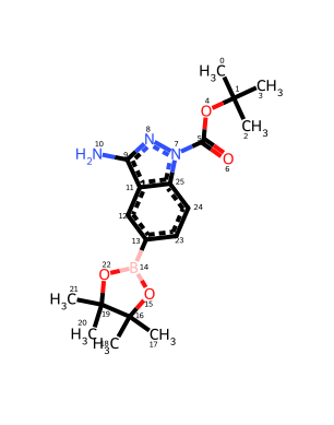 CC(C)(C)OC(=O)n1nc(N)c2cc(B3OC(C)(C)C(C)(C)O3)ccc21